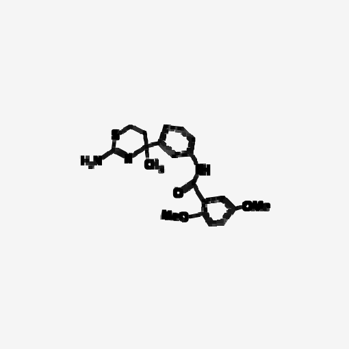 COc1ccc(OC)c(C(=O)Nc2cccc(C3(C)CCSC(N)=N3)c2)c1